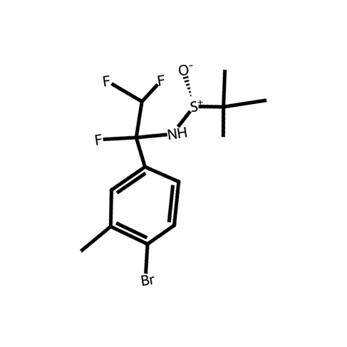 Cc1cc(C(F)(N[S@+]([O-])C(C)(C)C)C(F)F)ccc1Br